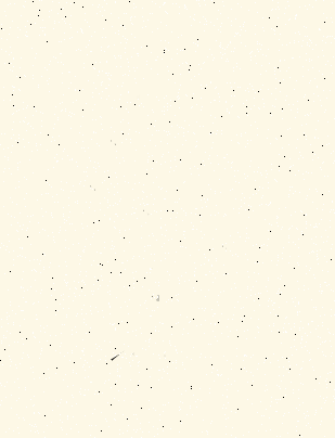 C[C@H](O)CNC(=O)c1cnccc1Nc1cc(-c2cc(Cl)ccc2F)c(O)nc1N(C)C